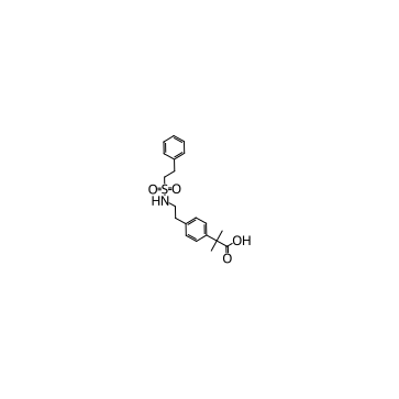 CC(C)(C(=O)O)c1ccc(CCNS(=O)(=O)CCc2ccccc2)cc1